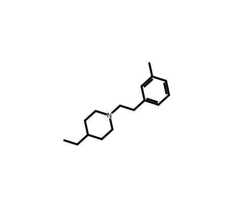 CCC1CCN(CCc2cccc(C)c2)CC1